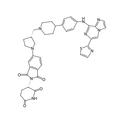 O=C1CC[C@H](N2C(=O)c3ccc(N4CC[C@H](CN5CCC(c6ccc(Nc7nc(-c8nccs8)cn8ccnc78)cc6)CC5)C4)cc3C2=O)C(=O)N1